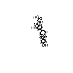 O=C(O)CNC(=O)c1ncc(C2CCCN(S(=O)(=O)c3ccc(O)cc3)CC2)cc1O